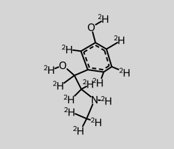 [2H]Oc1c([2H])c([2H])c([2H])c(C([2H])(O[2H])C([2H])([2H])N([2H])C([2H])([2H])[2H])c1[2H]